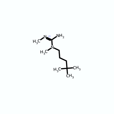 C/N=C(/N)N(C)CCCC(C)(C)C